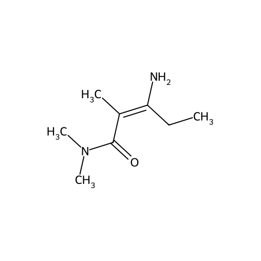 CCC(N)=C(C)C(=O)N(C)C